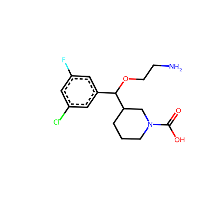 NCCOC(c1cc(F)cc(Cl)c1)C1CCCN(C(=O)O)C1